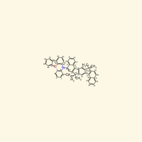 Cc1ccccc1N(c1cc2c(c3ccccc13)-c1cc3c(cc1C2(C)C)-c1c(ccc2ccccc12)C3(C)C)c1cccc2c1oc1ccccc12